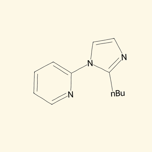 CCCCc1nccn1-c1ccccn1